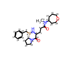 CN(C(=O)CCC(NSCc1ccccc1)C(=O)N1CCCC1)C1CCCOCC1